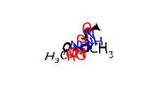 Cc1cc(O)c(C(=O)N[C@H]2CCC[C@H](C)[C@@H]2O)cc1NC(=O)c1coc(C2CC2)n1